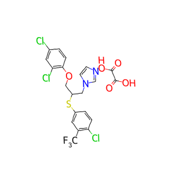 FC(F)(F)c1cc(SC(COc2ccc(Cl)cc2Cl)Cn2ccnc2)ccc1Cl.O=C(O)C(=O)O